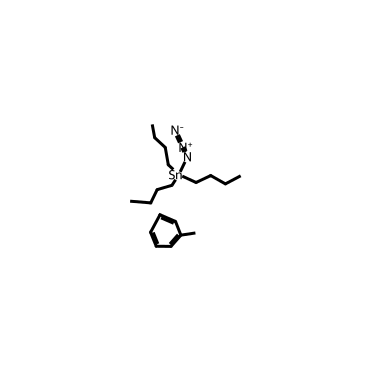 CCC[CH2][Sn]([CH2]CCC)([CH2]CCC)[N]=[N+]=[N-].Cc1ccccc1